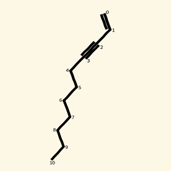 C=CC#CCCCCCCC